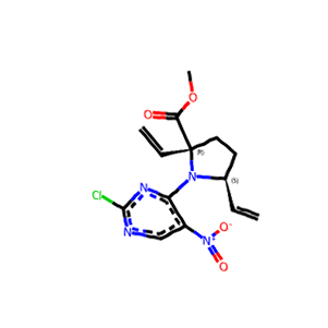 C=C[C@@H]1CC[C@@](C=C)(C(=O)OC)N1c1nc(Cl)ncc1[N+](=O)[O-]